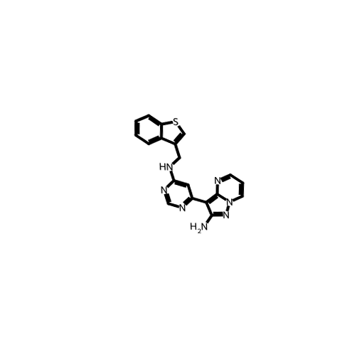 Nc1nn2cccnc2c1-c1cc(NCc2csc3ccccc23)ncn1